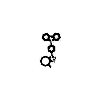 CC1CCCCCc2c1nnn2-c1ccc(-n2c3ccccc3c3ccccc32)cc1